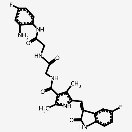 Cc1[nH]c(/C=C2\C(=O)Nc3ccc(F)cc32)c(C)c1C(=O)NCC(=O)NCC(=O)Nc1ccc(F)cc1N